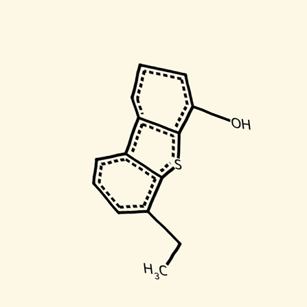 CCc1cccc2c1sc1c(O)cccc12